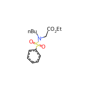 CCCCN(CC(=O)OCC)S(=O)(=O)c1ccccc1